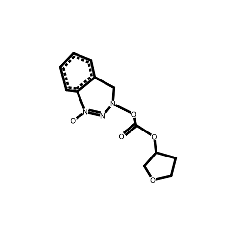 O=C(OC1CCOC1)ON1Cc2ccccc2[N+]([O-])=N1